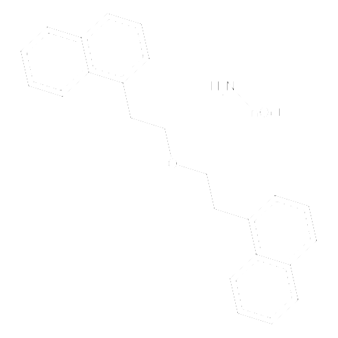 CCCCCCCCN.c1ccc2c(CCOCCc3cccc4ccccc34)cccc2c1